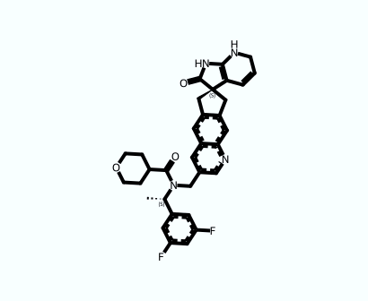 C[C@@H](c1cc(F)cc(F)c1)N(Cc1cnc2cc3c(cc2c1)C[C@@]1(C3)C(=O)NC2=C1C=CCN2)C(=O)C1CCOCC1